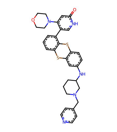 O=c1cc(N2CCOCC2)c(-c2cccc3c2Sc2ccc(NC4CCCN(Cc5ccncc5)C4)cc2S3)c[nH]1